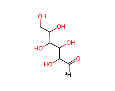 [2H]C(=O)C(O)C(O)C(O)C(O)CO